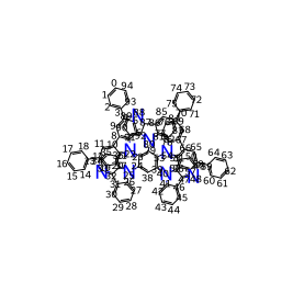 c1ccc(-c2ccc3c(c2)c2cc(-c4ccccc4)ccc2n3-c2c(-n3c4ccccc4c4ncccc43)cc(-n3c4ccccc4c4ncccc43)c(-n3c4ccc(-c5ccccc5)cc4c4cc(-c5ccccc5)ccc43)c2-n2c3ccccc3c3ncccc32)cc1